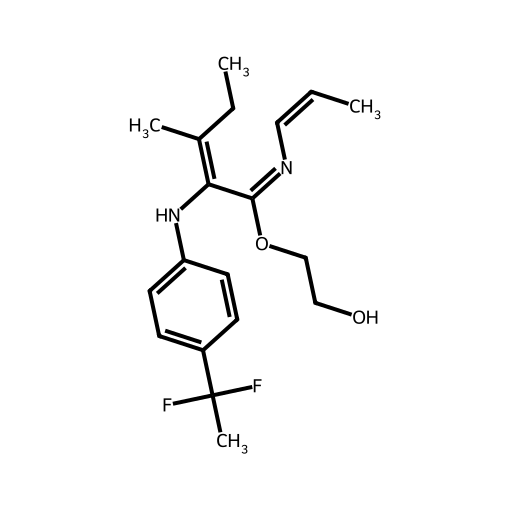 C\C=C/N=C(OCCO)\C(Nc1ccc(C(C)(F)F)cc1)=C(\C)CC